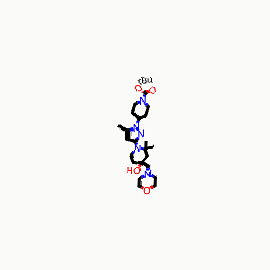 Cc1cc(N2CCC(O)(CN3CCOCC3)CC2(C)C)nn1C1CCN(C(=O)OC(C)(C)C)CC1